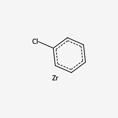 Clc1ccccc1.[Zr]